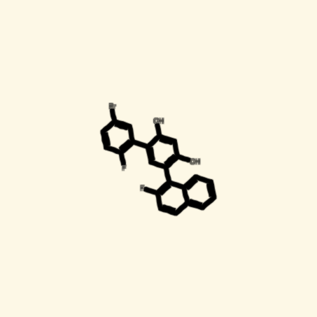 Oc1cc(O)c(-c2c(F)ccc3ccccc23)cc1-c1cc(Br)ccc1F